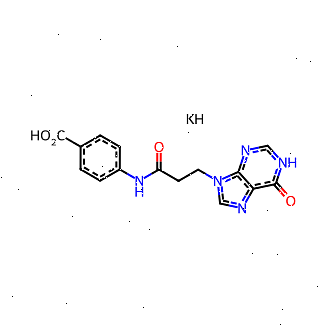 O=C(CCn1cnc2c(=O)[nH]cnc21)Nc1ccc(C(=O)O)cc1.[KH]